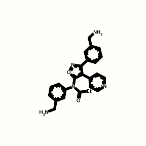 CCC(=O)N(c1cccc(CN)c1)c1onc(-c2cccc(CN)c2)c1-c1ccncc1